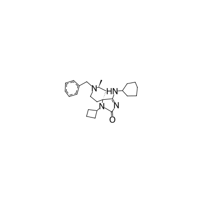 C[C@H]1C[C@]2(CCN1Cc1ccccc1)C(NC1CCCCC1)=NC(=O)N2C1CCC1